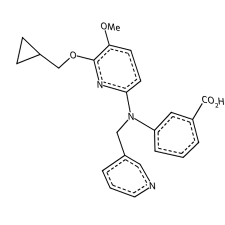 COc1ccc(N(Cc2cccnc2)c2cccc(C(=O)O)c2)nc1OCC1CC1